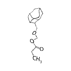 CCC(=O)OCOCC1C2CC3CC(C2)CC1C3